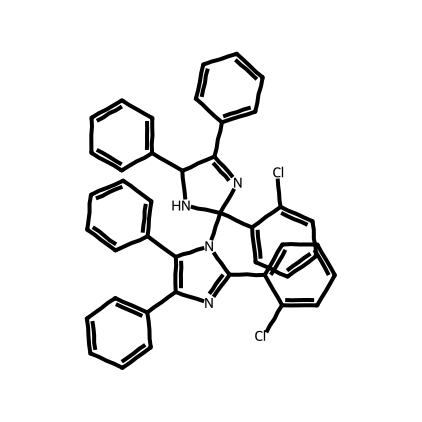 Clc1ccccc1-c1nc(-c2ccccc2)c(-c2ccccc2)n1C1(c2ccccc2Cl)N=C(c2ccccc2)C(c2ccccc2)N1